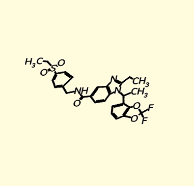 CCc1nc2cc(C(=O)NCc3ccc(S(=O)(=O)CC)cc3)ccc2n1C(C)c1cccc2c1OC(F)(F)O2